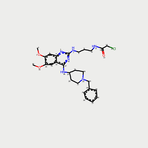 COc1cc2nc(NCCCNC(=O)CCl)nc(NC3CCN(Cc4ccccc4)CC3)c2cc1OC